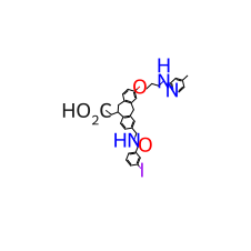 Cc1ccnc(NCCCOc2ccc3c(c2)Cc2cc(CNC(=O)c4cccc(I)c4)ccc2C(CC(=O)O)C3)c1